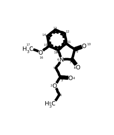 CCOC(=O)CN1C(=O)C(=O)c2cccc(OC)c21